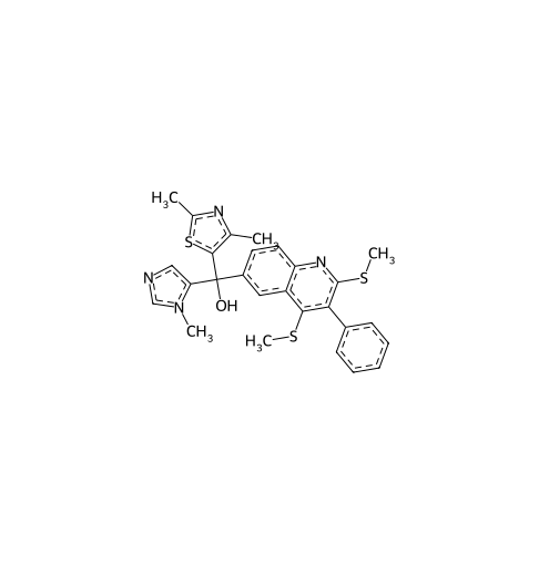 CSc1nc2ccc(C(O)(c3sc(C)nc3C)c3cncn3C)cc2c(SC)c1-c1ccccc1